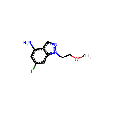 COCCn1ncc2c(N)cc(F)cc21